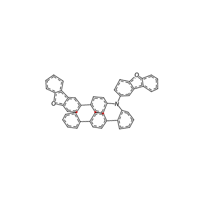 c1ccc(-c2ccc(-c3ccccc3N(c3ccc(-c4ccc5oc6ccccc6c5c4)cc3)c3ccc4oc5ccccc5c4c3)cc2)cc1